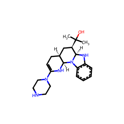 CC(C)(O)[C@@H]1C[C@@H]2CC=C(N3CCNCC3)N[C@@H]2N2c3ccccc3N[C@H]12